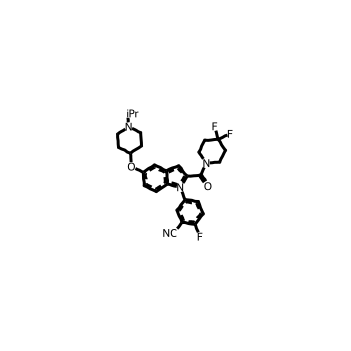 CC(C)N1CCC(Oc2ccc3c(c2)cc(C(=O)N2CCC(F)(F)CC2)n3-c2ccc(F)c(C#N)c2)CC1